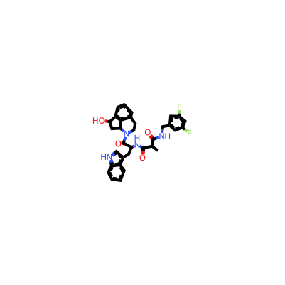 CC(C(=O)NCc1cc(F)cc(F)c1)C(=O)NC(Cc1c[nH]c2ccccc12)C(=O)N1CCc2cccc3c2C1CC3O